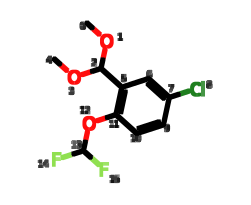 COC(OC)c1cc(Cl)ccc1OC(F)F